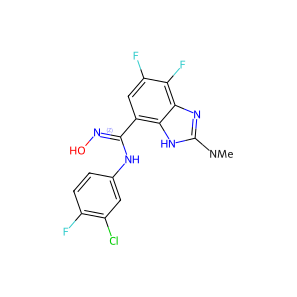 CNc1nc2c(F)c(F)cc(/C(=N/O)Nc3ccc(F)c(Cl)c3)c2[nH]1